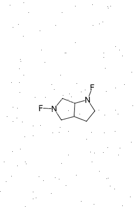 FN1CC2CCN(F)C2C1